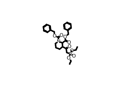 CCOP(=O)(CC(=O)C1CCCN(C(=O)OCc2ccccc2)C1C(=O)OCc1ccccc1)OCC